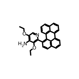 CCOc1cnc(-c2ccc3cccc4c5cccc6cccc(c2c34)c65)c(OCC)c1N